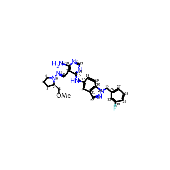 COC[C@H]1CCCN1N=Cc1c(N)ncnc1Nc1ccc2c(cnn2Cc2cccc(F)c2)c1